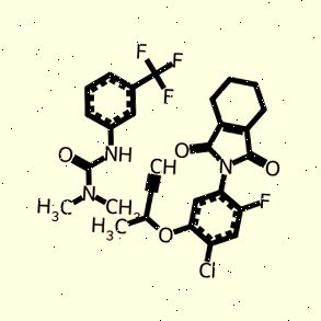 C#CC(C)Oc1cc(N2C(=O)C3=C(CCCC3)C2=O)c(F)cc1Cl.CN(C)C(=O)Nc1cccc(C(F)(F)F)c1